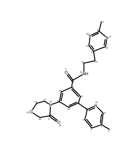 Cc1ccc(-c2cc(C(=O)NCCc3cnc(C)nc3)cc(N3CCOCC3=O)c2)nc1